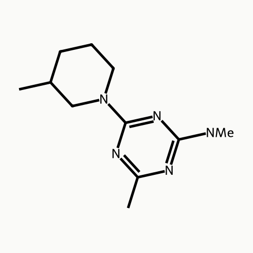 CNc1nc(C)nc(N2CCCC(C)C2)n1